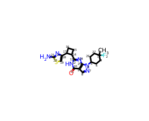 CC1(F)CCC(n2ncc3c(=O)[nH]c(C4CCC4c4csc(N)n4)nc32)CC1